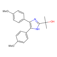 COc1ccc(-c2nc(C(C)(C)O)[nH]c2-c2ccc(OC)cc2)cc1